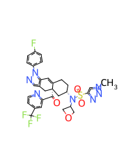 Cn1cc(S(=O)(=O)N(C2COC2)[C@H]2CCC3=Cc4c(cnn4-c4ccc(F)cc4)C[C@]3(C(=O)c3cc(C(F)(F)F)ccn3)C2)nn1